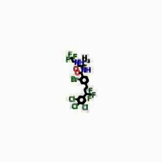 C[C@H](NC(=O)c1ccc(/C=C/C(c2cc(Cl)c(Cl)c(Cl)c2)C(F)(F)F)cc1Br)C(=O)NCC(F)(F)F